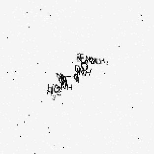 CC[C@@H](CO)Nc1ccc2ncc(C#Cc3cncc(C(=O)Nc4ccc(CN5CCN(C)CC5)c(C(F)(F)F)c4)c3)n2n1